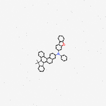 CC1(C)c2ccccc2-c2c1c1ccccc1c1c2ccc2cc(N(c3ccccc3)c3ccc4c(c3)oc3ccccc34)ccc21